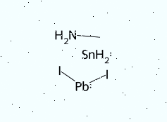 CN.[I][Pb][I].[SnH2]